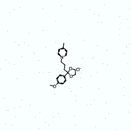 COc1ccc(C2(CCC[n+]3ccc(C)cc3)OCCO2)cc1.[Cl-]